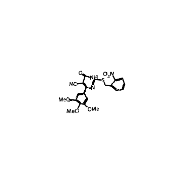 COc1cc(-c2nc(SCc3ccccc3[N+](=O)[O-])[nH]c(=O)c2C#N)cc(OC)c1OC